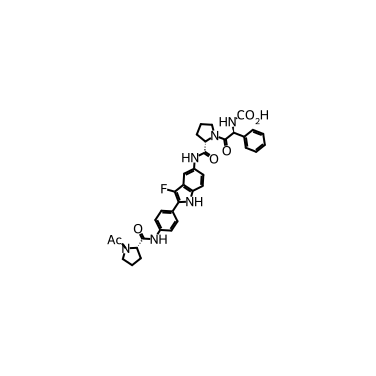 CC(=O)N1CCC[C@H]1C(=O)Nc1ccc(-c2[nH]c3ccc(NC(=O)[C@@H]4CCCN4C(=O)[C@@H](NC(=O)O)c4ccccc4)cc3c2F)cc1